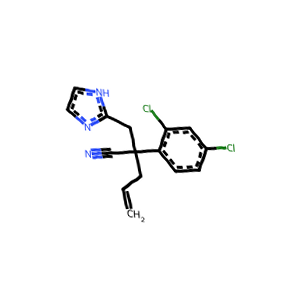 C=CCC(C#N)(Cc1ncc[nH]1)c1ccc(Cl)cc1Cl